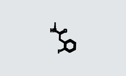 O=C(Cc1ccccc1F)NI